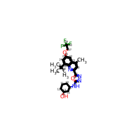 Cc1cc(-c2nnc(N[C@@H]3CCC[C@H](O)C3)o2)nc2c(C(C)(C)C)cc(OCC(F)(F)F)cc12